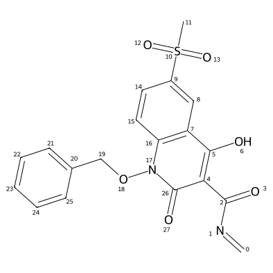 C=NC(=O)c1c(O)c2cc(S(C)(=O)=O)ccc2n(OCc2ccccc2)c1=O